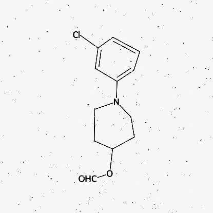 O=COC1CCN(c2cccc(Cl)c2)CC1